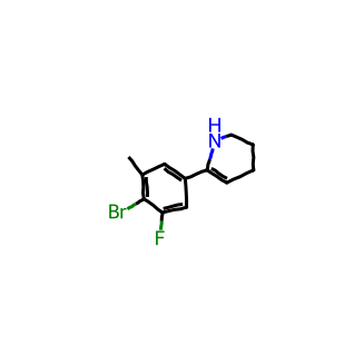 Cc1cc(C2=CCCCN2)cc(F)c1Br